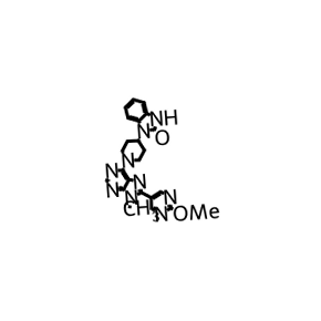 COc1ncc(-c2nc3c(N4CCC(n5c(=O)[nH]c6ccccc65)CC4)ncnc3n2C)cn1